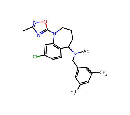 CC(=O)N(Cc1cc(C(F)(F)F)cc(C(F)(F)F)c1)C1CCCN(c2nc(C)no2)c2cc(Cl)ccc21